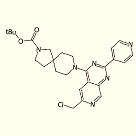 CC(C)(C)OC(=O)N1CCC2(CCN(c3nc(-c4ccncc4)nc4cnc(CCl)cc34)CC2)C1